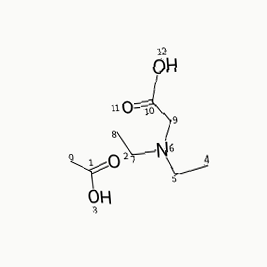 CC(=O)O.CCN(CC)CC(=O)O